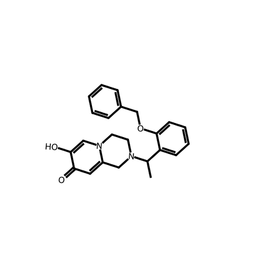 CC(c1ccccc1OCc1ccccc1)N1CCn2cc(O)c(=O)cc2C1